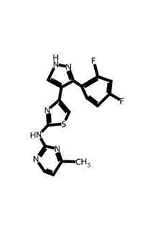 Cc1ccnc(Nc2nc(-c3c[nH]nc3-c3ccc(F)cc3F)cs2)n1